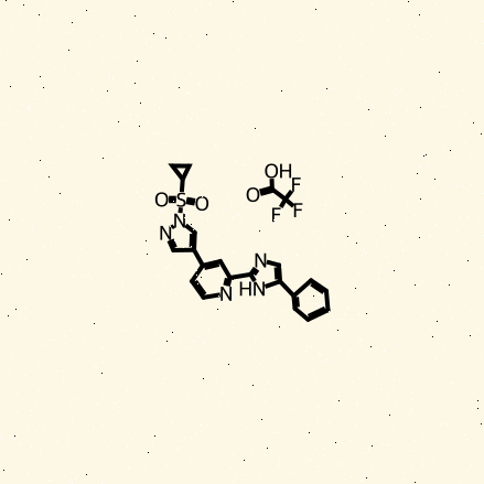 O=C(O)C(F)(F)F.O=S(=O)(C1CC1)n1cc(-c2ccnc(-c3ncc(-c4ccccc4)[nH]3)c2)cn1